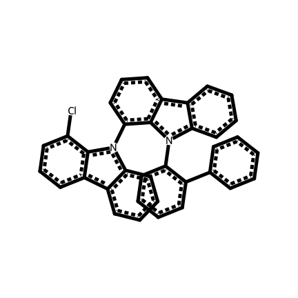 Clc1cccc2c3ccccc3n(-c3cccc4c5ccccc5n(-c5ccccc5-c5ccccc5)c34)c12